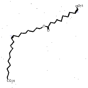 CCCCCCCC/C=C\CCCCCCCC(=O)OCCCCCCC/C=C\CCCCCCCCCCC(=O)O